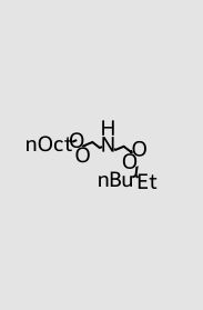 CCCCCCCCOC(=O)CCNCCC(=O)OCC(CC)CCCC